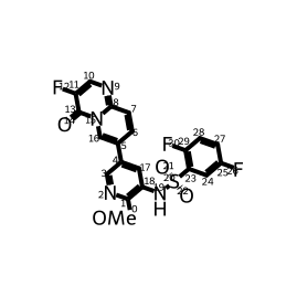 COc1ncc(-c2ccc3ncc(F)c(=O)n3c2)cc1NS(=O)(=O)c1cc(F)ccc1F